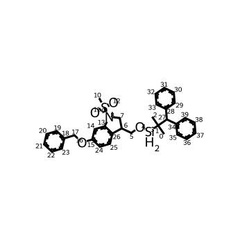 CC(C)([SiH2]OCC1CN(S(C)(=O)=O)c2cc(OCc3ccccc3)ccc21)C(c1ccccc1)c1ccccc1